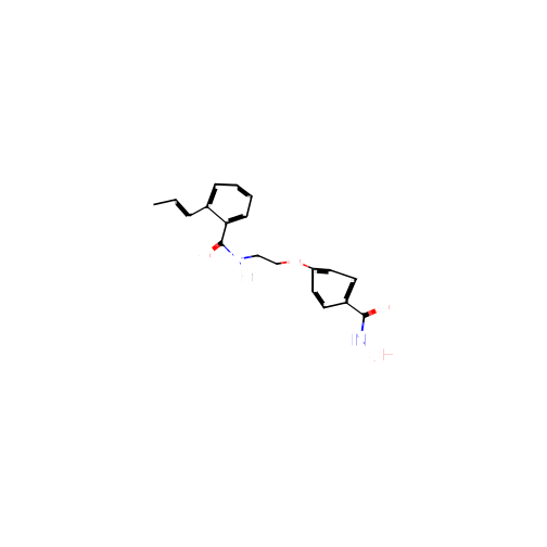 C/C=C/c1ccccc1C(=O)N(CCOc1ccc(C(=O)NO)cc1)C(C)C